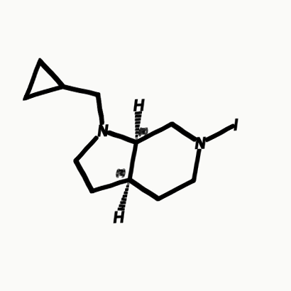 IN1CC[C@H]2CCN(CC3CC3)[C@H]2C1